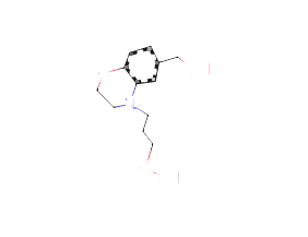 COCCCN1CCOc2ccc(CO)cc21